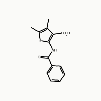 Cc1sc(NC(=O)c2ccccc2)c(C(=O)O)c1C